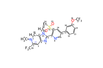 C=N/C(=C\c1nc(-c2ncc(-c3cccc(OC(F)(F)F)c3)cc2S(=O)(=O)CC)n(C)c1C)C(F)(F)F